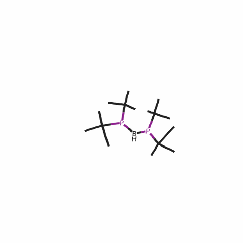 CC(C)(C)P(BP(C(C)(C)C)C(C)(C)C)C(C)(C)C